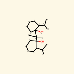 CC(C)C1CCCCC1(O)C(C)(C)C1(O)CCCCC1C(C)C